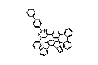 c1ccc(-c2cc(-c3ccc4c(c3)C3(c5ccccc5-c5ccccc5-4)c4ccccc4-c4c3ccc3oc5ccccc5c43)nc(-c3ccc(-c4cccnc4)cc3)n2)cc1